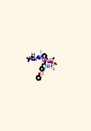 CCOC(CN(Cc1ccc(F)c(N2CC(N3CC4C[C@H]3CN4C(C)C)C2)n1)C(=O)[C@@H](N)Cc1ccc(OCc2ccccc2)cc1F)OCC